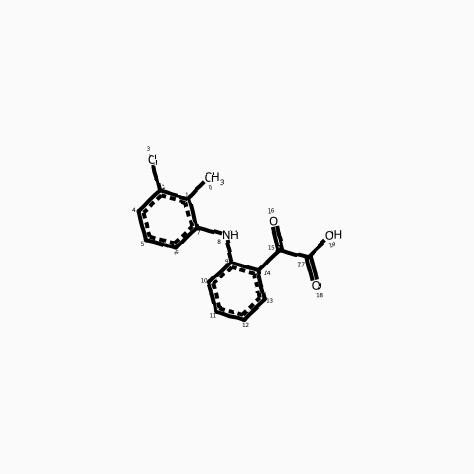 Cc1c(Cl)cccc1Nc1ccccc1C(=O)C(=O)O